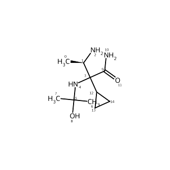 C[C@@H](N)C(NC(C)(C)O)(C(N)=O)C1CC1